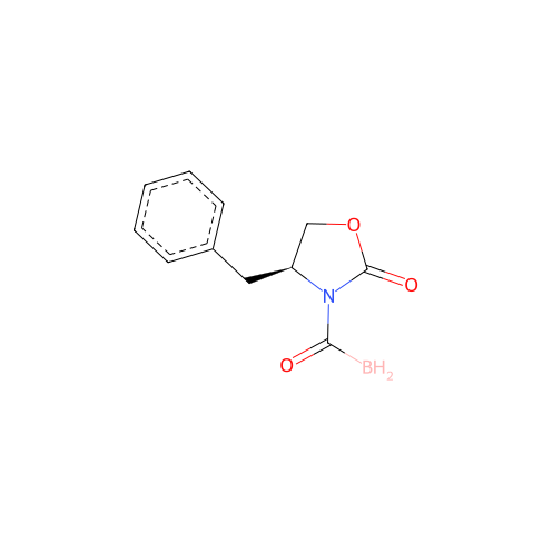 BC(=O)N1C(=O)OC[C@@H]1Cc1ccccc1